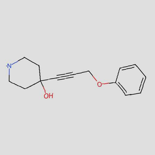 OC1(C#CCOc2ccccc2)CC[N]CC1